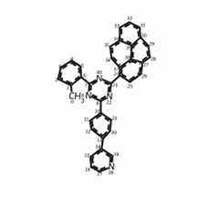 Cc1ccccc1-c1nc(-c2ccc(-c3cccnc3)cc2)nc(-c2ccc3ccc4cccc5ccc2c3c45)n1